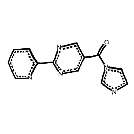 O=C(c1cnc(-c2ccccn2)nc1)n1ccnc1